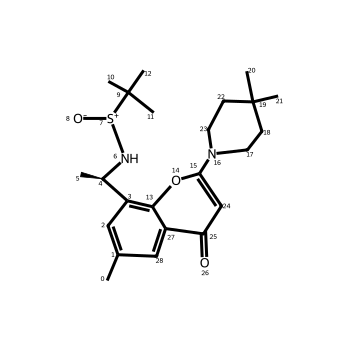 Cc1cc([C@@H](C)N[S+]([O-])C(C)(C)C)c2oc(N3CCC(C)(C)CC3)cc(=O)c2c1